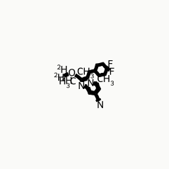 [2H]C([2H])([2H])OC(C)(C)c1nc2cc(C#N)cc(C)n2c1CC1CCC(F)(F)CC1